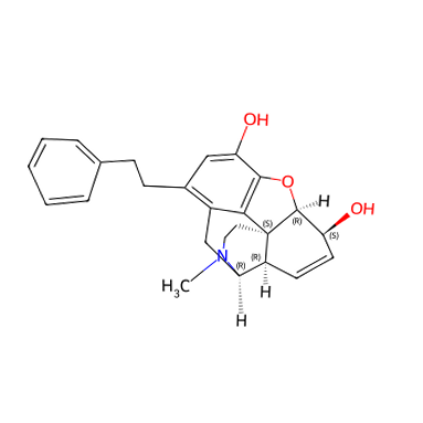 CN1CC[C@]23c4c5c(CCc6ccccc6)cc(O)c4O[C@H]2[C@@H](O)C=C[C@H]3[C@H]1C5